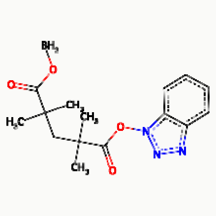 BOC(=O)C(C)(C)CC(C)(C)C(=O)On1nnc2ccccc21